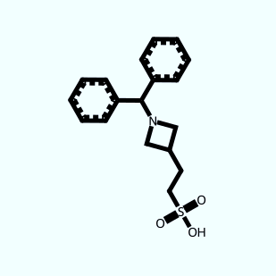 O=S(=O)(O)CCC1CN(C(c2ccccc2)c2ccccc2)C1